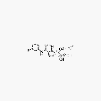 COC[C@H]1O[C@@H](n2cnc3c(Nc4cccc(F)c4)nc(C)nc32)[C@H](O)[C@@H]1O